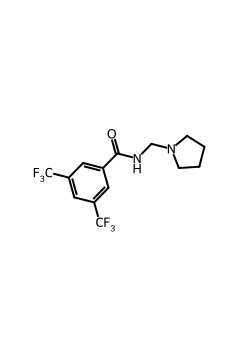 O=C(NCN1CCCC1)c1cc(C(F)(F)F)cc(C(F)(F)F)c1